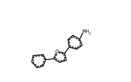 Nc1ccc(-c2ccc(-c3ccccc3)o2)cc1